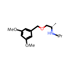 COc1cc(COC[C@H](C)NC(C)C)cc(OC)c1